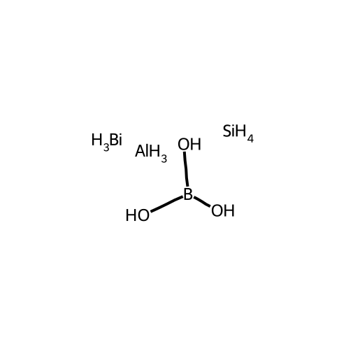 OB(O)O.[AlH3].[BiH3].[SiH4]